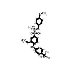 C=Cc1cc(S(=O)(=O)N(C)Cc2ccc(OC)cc2)ccc1Nc1ccc(C(F)(F)F)cn1